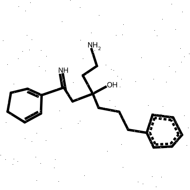 N=C(CC(O)(CCN)CCCc1ccccc1)C1=CCCC=C1